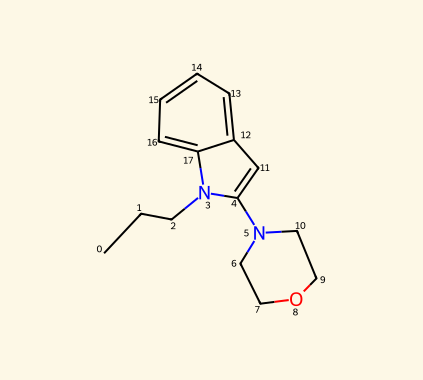 CCCn1c(N2CCOCC2)cc2ccccc21